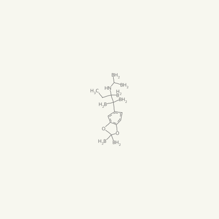 BC(B)NC(B)(CC)C(B)(B)c1ccc2c(c1)OC(B)(B)O2